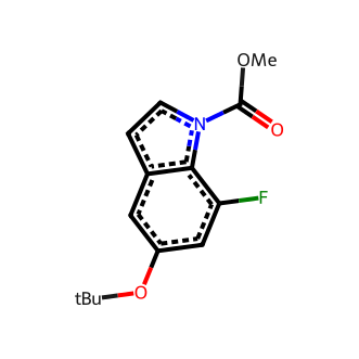 COC(=O)n1ccc2cc(OC(C)(C)C)cc(F)c21